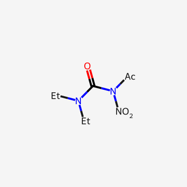 CCN(CC)C(=O)N(C(C)=O)[N+](=O)[O-]